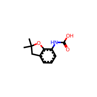 CC1(C)Cc2cccc(NC(=O)O)c2O1